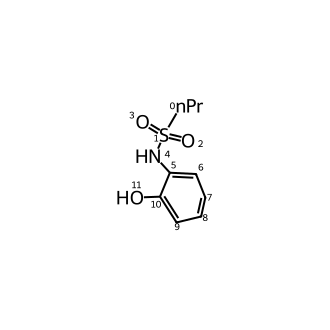 CCCS(=O)(=O)Nc1ccccc1O